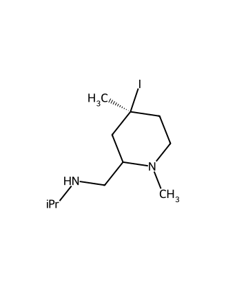 CC(C)NCC1C[C@@](C)(I)CCN1C